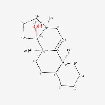 C[C@]12CC=C3[C@@H](CCC4CCCC[C@]34C)[C@@]1(O)CCC2